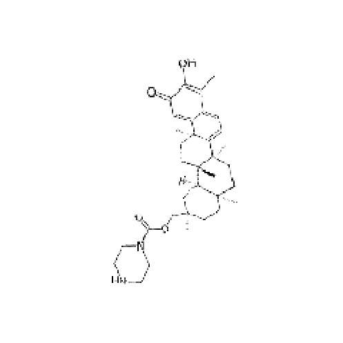 CC1=C(O)C(=O)C=C2C1=CC=C1[C@@]2(C)CC[C@@]2(C)[C@@H]3C[C@](C)(COC(=O)N4CCNCC4)CC[C@]3(C)CC[C@]12C